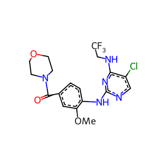 COc1cc(C(=O)N2CCOCC2)ccc1Nc1ncc(Cl)c(NCC(F)(F)F)n1